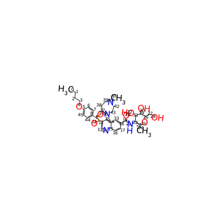 CCCCOc1ccc(S(=O)(=O)c2cnc3ccc(C(=O)NC4C(C)OC(CO)C(O)C4O)cc3c2N2CCCN(C)CC2)cc1